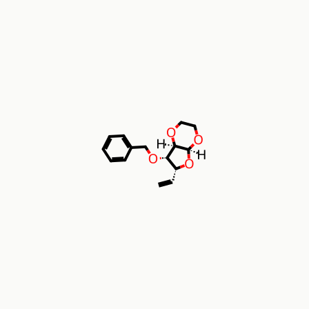 C=C[C@H]1O[C@@H]2OCCO[C@@H]2[C@H]1OCc1ccccc1